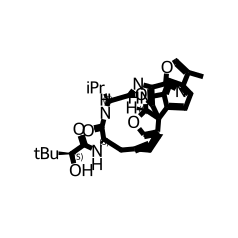 Cc1coc(-c2nc3oc2C24c5ccccc5N[C@H]2Oc2ccc(cc24)C[C@H](NC(=O)[C@@H](O)C(C)(C)C)C(=O)N[C@H]3C(C)C)n1